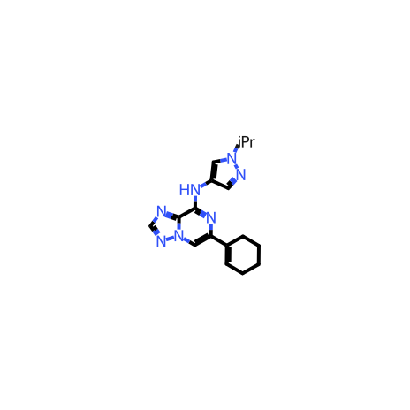 CC(C)n1cc(Nc2nc(C3=CCCCC3)cn3ncnc23)cn1